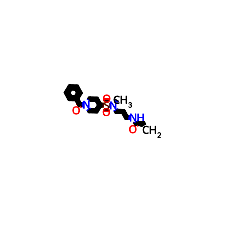 C=CC(=O)NCCCN(C)S(=O)(=O)C1CCN(C(=O)c2ccccc2)CC1